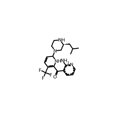 CC(C)C[C@H]1CN(C2C=CC(C(F)(F)F)=C(C(=O)c3cccnc3N)N2)CCN1